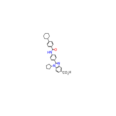 O=C(O)c1ccc2c(c1)nc(-c1ccc(NC(=O)c3ccc(C4CCCCC4)cc3)cc1)n2C1CCCC1